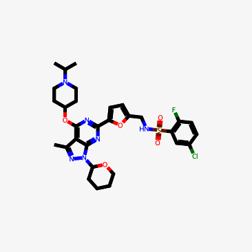 Cc1nn(C2CCCCO2)c2nc(-c3ccc(CNS(=O)(=O)c4cc(Cl)ccc4F)o3)nc(OC3CCN(C(C)C)CC3)c12